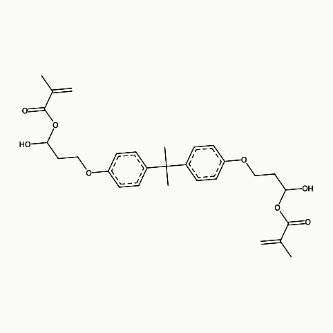 C=C(C)C(=O)OC(O)CCOc1ccc(C(C)(C)c2ccc(OCCC(O)OC(=O)C(=C)C)cc2)cc1